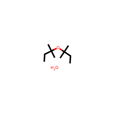 CCC(C)(C)OC(C)(C)CC.O